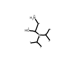 CC(C)N(C(C)C)C(O)CN